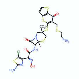 NCCSCc1c(SC2(C(=O)O)CS[C@@H]3C(NC(=O)C(=NO)c4nc(N)sc4Cl)C(=O)N3C2)sc2ccsc2c1=O